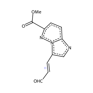 COC(=O)c1ccc2ncc(/C=C/C=O)n2n1